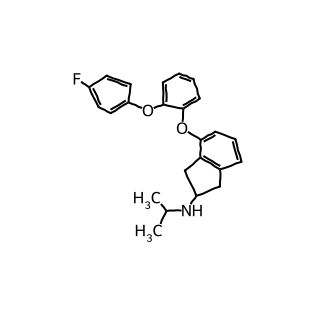 CC(C)NC1Cc2cccc(Oc3ccccc3Oc3ccc(F)cc3)c2C1